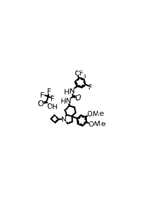 COc1ccc(C23CCC(NC(=O)Nc4cc(F)cc(C(F)(F)F)c4)CC2N(C2CCC2)CC3)cc1OC.O=C(O)C(F)(F)F